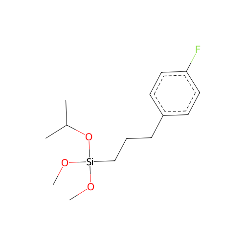 CO[Si](CCCc1ccc(F)cc1)(OC)OC(C)C